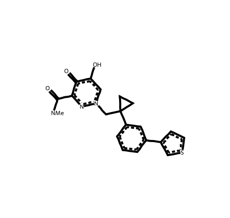 CNC(=O)c1nn(CC2(c3cccc(-c4ccsc4)c3)CC2)cc(O)c1=O